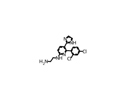 NCCNc1ccc(-c2ncc[nH]2)c(-c2ccc(Cl)cc2Cl)n1